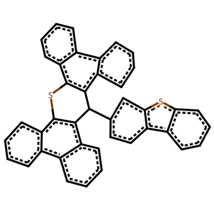 c1ccc2c(c1)sc1cc(C3c4c(c5ccccc5c5ccccc45)Sc4c3c3ccccc3c3ccccc43)ccc12